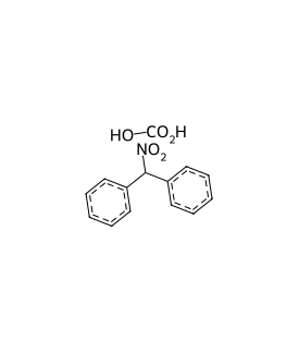 O=C(O)O.O=[N+]([O-])C(c1ccccc1)c1ccccc1